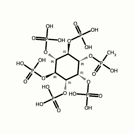 CP(=O)(O)O[C@@H]1[C@H](OP(=O)(O)O)[C@H](OP(=O)(O)O)[C@@H](OP(=O)(O)O)[C@H](OP(=O)(O)O)[C@H]1OP(=O)(O)O